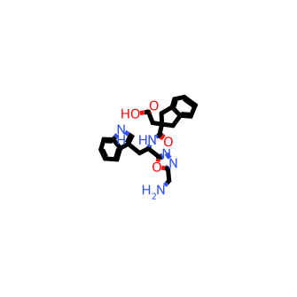 NCc1nnc(C(Cc2c[nH]c3ccccc23)NC(=O)C2(CC(=O)O)Cc3ccccc3C2)o1